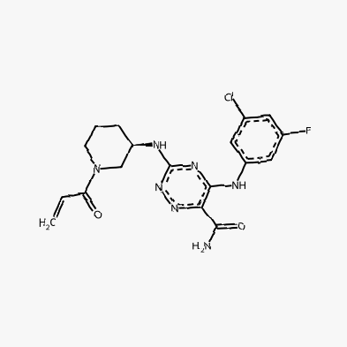 C=CC(=O)N1CCC[C@@H](Nc2nnc(C(N)=O)c(Nc3cc(F)cc(Cl)c3)n2)C1